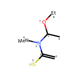 C=C(S)N(NC)C(C)OCC